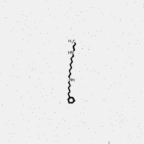 CCCCNCCCCCCCCNCCCCCc1ccccc1